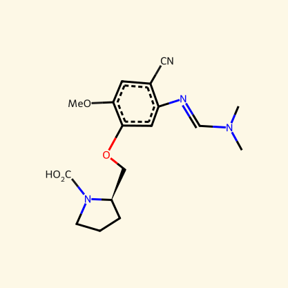 COc1cc(C#N)c(/N=C/N(C)C)cc1OC[C@H]1CCCN1C(=O)O